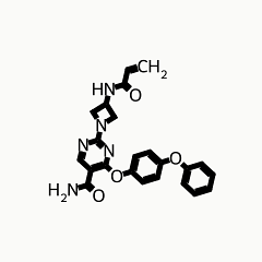 C=CC(=O)NC1CN(c2ncc(C(N)=O)c(Oc3ccc(Oc4ccccc4)cc3)n2)C1